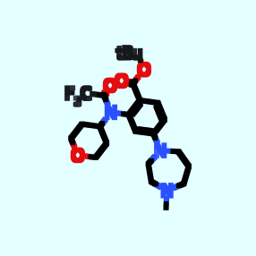 CN1CCCN(c2ccc(C(=O)OC(C)(C)C)c(N(C(=O)C(F)(F)F)C3CCOCC3)c2)CC1